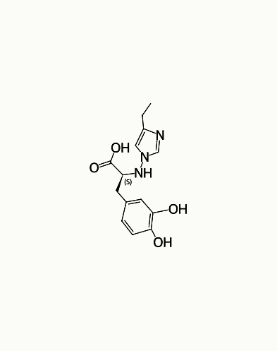 CCc1cn(N[C@@H](Cc2ccc(O)c(O)c2)C(=O)O)cn1